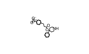 O=C(CCc1ccc([N+](=O)[O-])cc1)OC1(c2ccccc2)CCNCC1